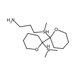 C[SiH](C)C1(C2([SiH](C)CCCN)CCCCO2)CCCCO1